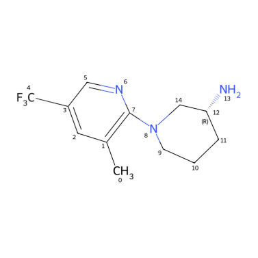 Cc1cc(C(F)(F)F)cnc1N1CCC[C@@H](N)C1